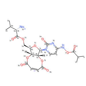 CC(C)C(=O)ONc1ccn([C@@H]2O[C@H](COC(=O)[C@@H](N)C(C)C)[C@H]3OC(=O)/C=C\C(=O)O[C@H]32)c(=O)n1